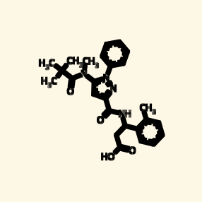 Cc1ccccc1C(CC(=O)O)NC(=O)c1cc(N(C)C(=O)C(C)(C)C)n(-c2ccccc2)n1